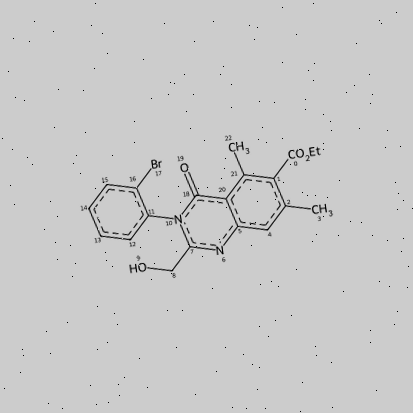 CCOC(=O)c1c(C)cc2nc(CO)n(-c3ccccc3Br)c(=O)c2c1C